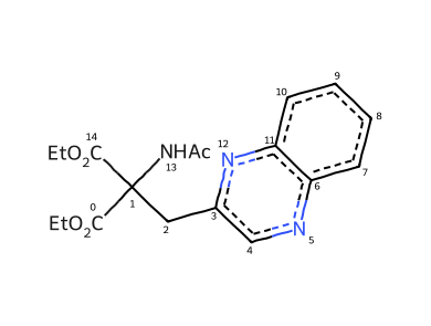 CCOC(=O)C(Cc1cnc2ccccc2n1)(NC(C)=O)C(=O)OCC